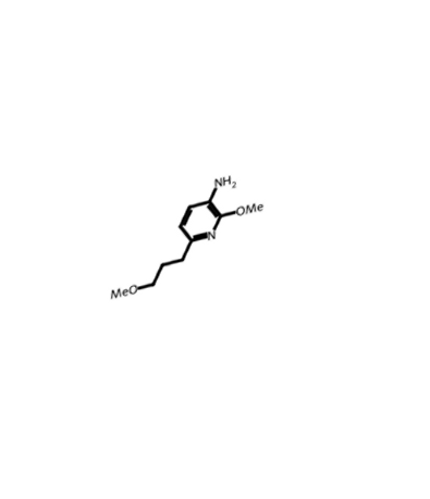 COCCCc1ccc(N)c(OC)n1